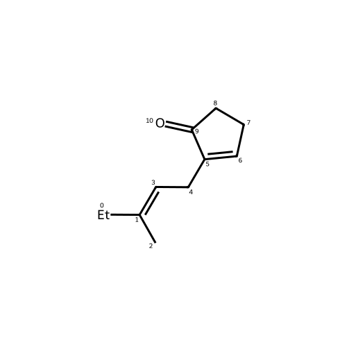 CCC(C)=CCC1=CCCC1=O